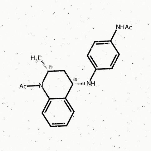 CC(=O)Nc1ccc(N[C@H]2C[C@@H](C)N(C(C)=O)c3ccccc32)cc1